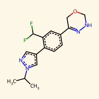 CC(C)n1cc(-c2ccc(C3=NNCOC3)cc2C(F)F)cn1